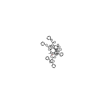 CC(=O)O[C@@]12CO[C@@H]1C[C@H](OC(=O)COc1ccccc1)[C@@]1(C)C(=O)[C@H](OC(=O)COc3ccccc3)C3=C(C)C(OC(=O)[C@@H]4OC(c5ccccc5)=N[C@H]4c4ccccc4)C[C@@](O)([C@@H](OC(=O)c4ccccc4)[C@H]21)C3(C)C